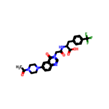 CC(=O)N1CCN(c2ccc3ncn(CC(=O)NC(Cc4ccc(C(F)(F)F)cc4)C(=O)O)c(=O)c3c2)CC1